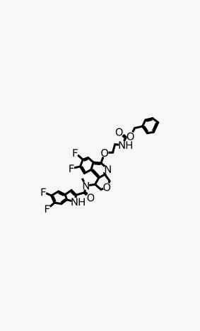 CN(C(=O)c1cc2cc(F)c(F)cc2[nH]1)C1COCc2nc(OCCNC(=O)OCc3ccccc3)c3cc(F)c(F)cc3c21